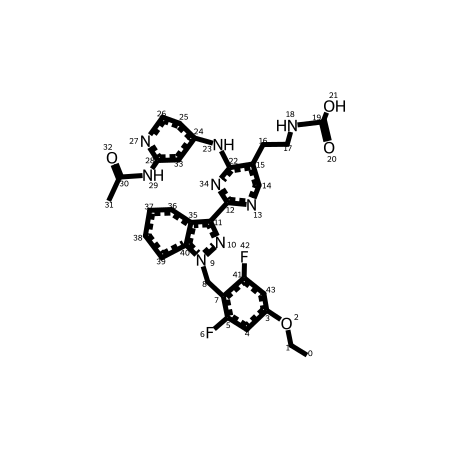 CCOc1cc(F)c(Cn2nc(-c3ncc(CCNC(=O)O)c(Nc4ccnc(NC(C)=O)c4)n3)c3ccccc32)c(F)c1